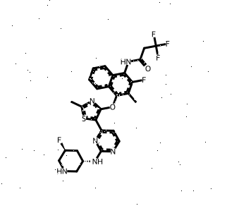 Cc1nc(Oc2c(C)c(F)c(NC(=O)CC(F)(F)F)c3ccccc23)c(-c2ccnc(N[C@@H]3CNC[C@@H](F)C3)n2)s1